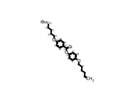 C=CCCCCOc1ccc(OC(=O)c2ccc(OCCCCC[C@@H](C)CC)cc2)cc1